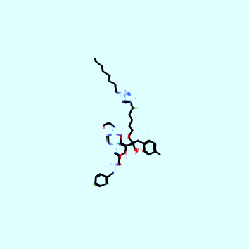 CCCCCCCCn1cc(C(F)CCCCC(=O)C(Cc2ccc(C)cc2F)(C(=O)O)C2=C3CN4CCCO[C@H]4CN3C=C(C(=O)NCc3ccc(F)cc3F)C2)nn1